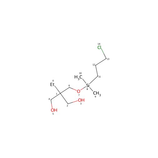 CCC(CO)(CO)CO[Si](C)(C)CCCCl